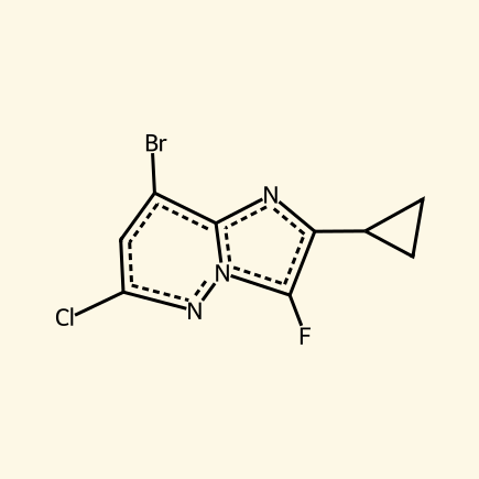 Fc1c(C2CC2)nc2c(Br)cc(Cl)nn12